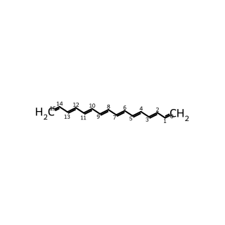 C=CC=CC=CC=CC=CC=CC=CC=C